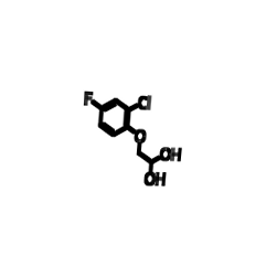 OC(O)COc1ccc(F)cc1Cl